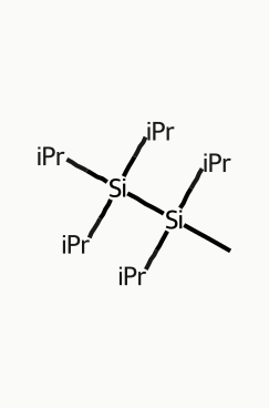 CC(C)[Si](C)(C(C)C)[Si](C(C)C)(C(C)C)C(C)C